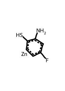 Nc1cc(F)ccc1S.[Zn]